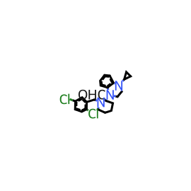 O=C[C@]1(N2CCN(C3CC3)c3ccccc32)CCCCN1Cc1cc(Cl)ccc1Cl